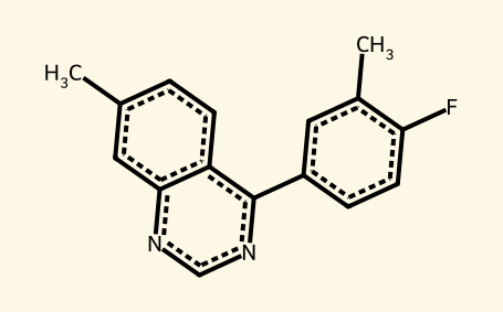 Cc1ccc2c(-c3ccc(F)c(C)c3)ncnc2c1